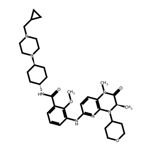 COc1c(Nc2ccc3c(n2)N(C2CCOCC2)[C@H](C)C(=O)N3C)cccc1C(=O)N[C@H]1CC[C@H](N2CCN(CC3CC3)CC2)CC1